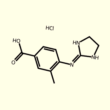 Cc1cc(C(=O)O)ccc1N=C1NCCN1.Cl